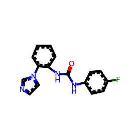 O=C(Nc1ccc(F)cc1)Nc1ccccc1-n1ccnc1